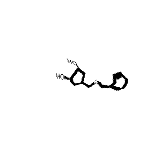 O[C@@H]1CC(COCc2ccccc2)C[C@H]1O